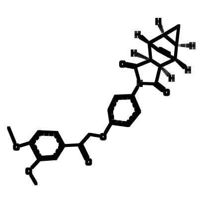 COc1ccc(C(=O)COc2ccc(N3C(=O)[C@@H]4[C@@H]5C=C[C@@H]([C@H]6C[C@@H]56)[C@@H]4C3=O)cc2)cc1OC